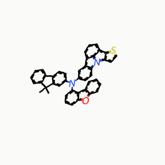 CC1(C)c2ccccc2-c2ccc(N(c3ccc4c(c3)c3cccc5c6sccc6n4c35)c3cccc4oc5ccccc5c34)cc21